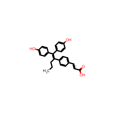 CCCC(=C(c1ccc(O)cc1)c1ccc(O)cc1)c1ccc(/C=C/C(=O)O)cc1